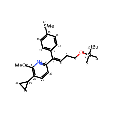 COc1nc(C(=CCCO[Si](C)(C)C(C)(C)C)c2ccc(SC)cc2)ccc1C1CC1